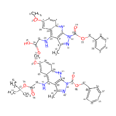 COc1ccc2nc3c(c(C)nn3C(=O)OCc3ccccc3)c(NCC(=O)O)c2c1.COc1ccc2nc3c(c(C)nn3C(=O)OCc3ccccc3)c(NCC(=O)OC(C)(C)C)c2c1